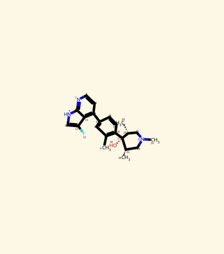 Cc1cc(-c2ccnc3[nH]cc(F)c23)ccc1[C@@]1(O)[C@H](C)CN(C)C[C@@H]1C